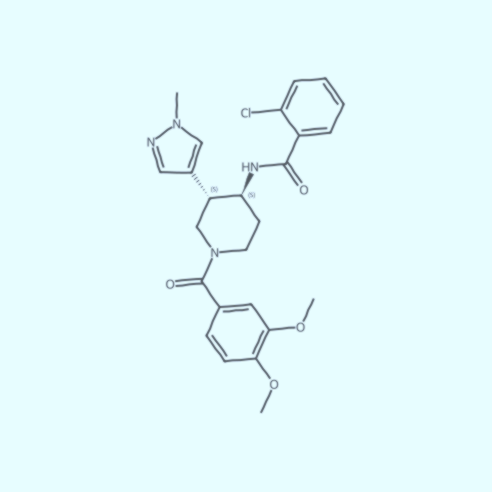 COc1ccc(C(=O)N2CC[C@H](NC(=O)c3ccccc3Cl)[C@@H](c3cnn(C)c3)C2)cc1OC